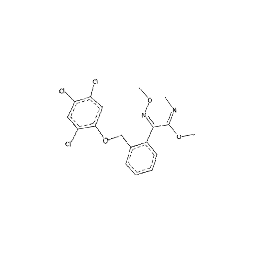 C/N=C(OC)\C(=N/OC)c1ccccc1COc1cc(Cl)c(Cl)cc1Cl